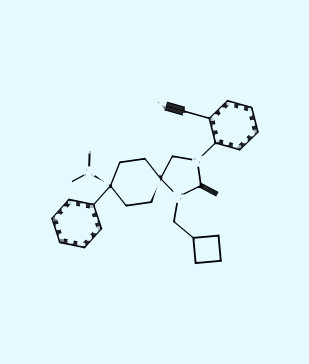 CN(C)[C@]1(c2ccccc2)CC[C@@]2(CC1)CN(c1ccccc1C#N)C(=O)N2CC1CCC1